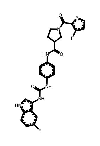 O=C(Nc1ccc(NC(=O)C2CCN(C(=O)c3sccc3F)C2)cc1)Nc1c[nH]c2ccc(F)cc12